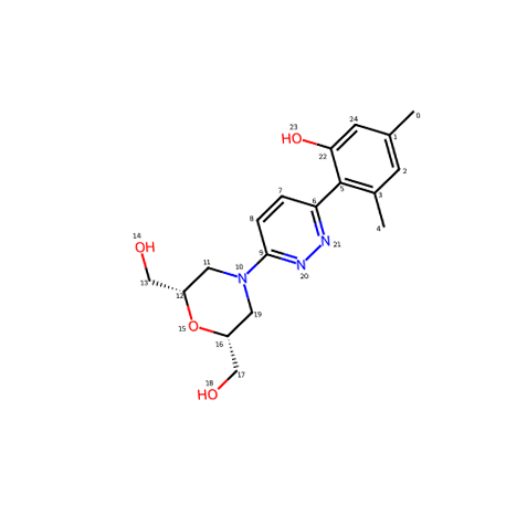 Cc1cc(C)c(-c2ccc(N3C[C@@H](CO)O[C@@H](CO)C3)nn2)c(O)c1